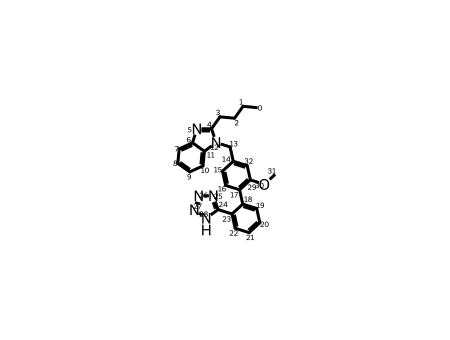 CCCCc1nc2ccccc2n1Cc1ccc(-c2ccccc2-c2nnn[nH]2)c(OC)c1